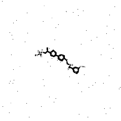 COc1cccc(C(=O)NCCc2ccc(-c3ccc(C(C)CNS(=O)(=O)C(C)C)cc3)cc2)c1